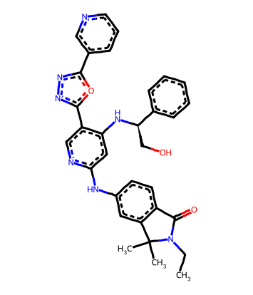 CCN1C(=O)c2ccc(Nc3cc(N[C@H](CO)c4ccccc4)c(-c4nnc(-c5cccnc5)o4)cn3)cc2C1(C)C